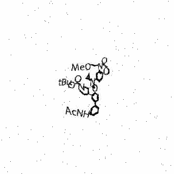 COCCCN1C(=O)COc2ccc(N(C(=O)[C@H]3CN(C(=O)OC(C)(C)C)CC[C@@H]3c3cccc(-c4cccc(NC(C)=O)c4)c3)C3CC3)cc21